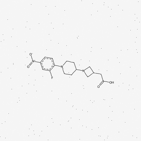 O=C(O)CC1CN(C2CCN(c3ccc([N+](=O)[O-])cc3F)CC2)C1